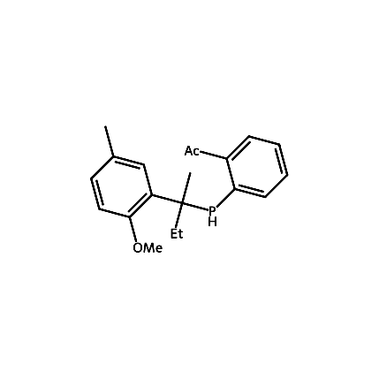 CCC(C)(Pc1ccccc1C(C)=O)c1cc(C)ccc1OC